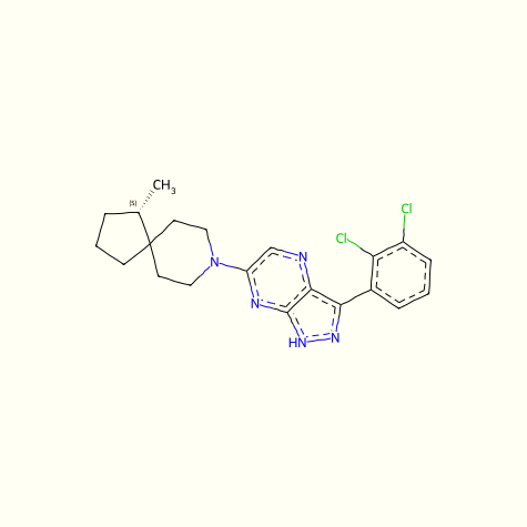 C[C@H]1CCCC12CCN(c1cnc3c(-c4cccc(Cl)c4Cl)n[nH]c3n1)CC2